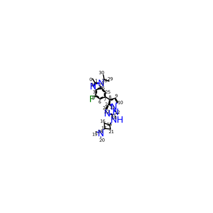 Cc1nc2c(F)cc(-c3ccn4nc(NC5CC(N(C)C)C5)ncc34)cc2n1C(C)C